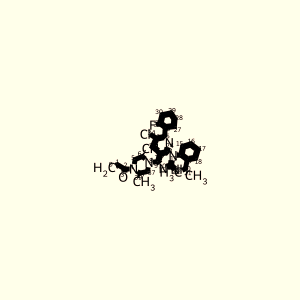 C=CC(=O)N1C[C@H](C)N(c2nc(=N)n(-c3ccccc3C(C)C)c3nc(-c4ccccc4F)c(Cl)cc23)C[C@H]1C